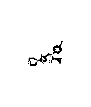 O=C(C1CC1)N(Cc1csc(N2CCOCC2)n1)c1ccc(F)cc1